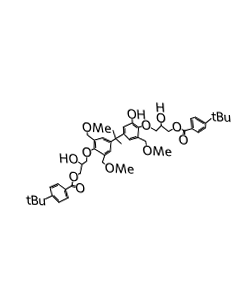 COCc1cc(C(C)(C)c2cc(COC)c(OCC(O)COC(=O)c3ccc(C(C)(C)C)cc3)c(COC)c2)cc(O)c1OCC(O)COC(=O)c1ccc(C(C)(C)C)cc1